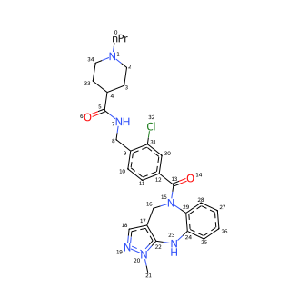 CCCN1CCC(C(=O)NCc2ccc(C(=O)N3Cc4cnn(C)c4Nc4ccccc43)cc2Cl)CC1